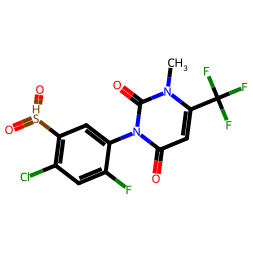 Cn1c(C(F)(F)F)cc(=O)n(-c2cc([SH](=O)=O)c(Cl)cc2F)c1=O